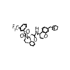 O=C(C[C@@H]1c2ccccc2CCN1S(=O)(=O)c1cccc(C(F)(F)F)c1)N[C@@H]1CCOc2cc(CN3C4CCC3CC4)ccc21